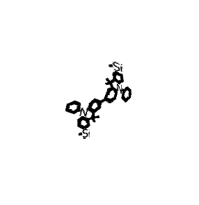 CC1(C)c2cc(-c3ccc4c(c3)C(C)(C)c3cc([Si](C)(C)C)ccc3N4c3ccccc3)ccc2N(c2ccccc2)c2ccc([Si](C)(C)C)cc21